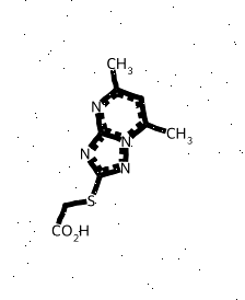 Cc1cc(C)n2nc(SCC(=O)O)nc2n1